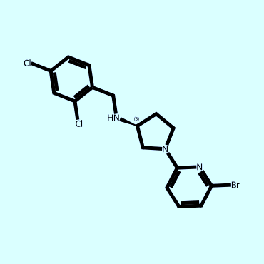 Clc1ccc(CN[C@H]2CCN(c3cccc(Br)n3)C2)c(Cl)c1